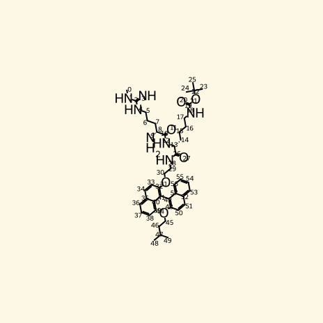 CNC(=N)NCCC[C@@H](N)C(=O)N[C@H](CCCCNC(=O)OC(C)(C)C)C(=O)NCCOc1ccc2ccccc2c1-c1c(OCCC(C)C)ccc2ccccc12